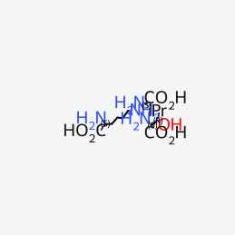 CC(C)[C@H](N)C(=O)O.C[C@@H](O)[C@H](N)C(=O)O.NCCCC[C@H](N)C(=O)O